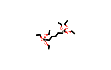 CCO[Si](CCCCC[Si](OCC)(OCC)OCC)(OCC)OCC